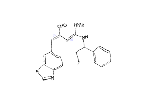 CN/C(=N\C(C=O)=C/c1ccc2ncsc2c1)NC(CF)c1ccccc1